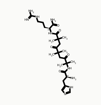 CC(C)(CC(=O)C(C)(C)NC(=O)[C@@H](N)Cc1cnc[nH]1)C(=O)CC(C)(C)C(=O)N[C@@H](CCCNC(=N)N)C(N)=O